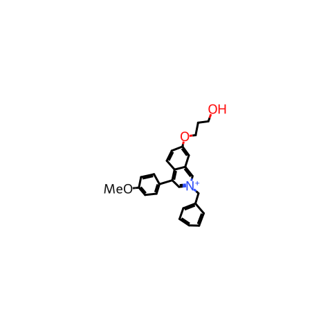 COc1ccc(-c2c[n+](Cc3ccccc3)cc3cc(OCCCO)ccc23)cc1